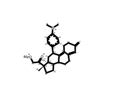 C=C1C=C2CCC3C(=C2CC1)C(c1ccc(N(C)C)cc1)C[C@@]1(C)C3CC[C@]1(C)C(=O)COC